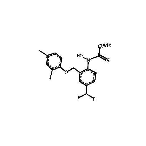 COC(=S)N(O)c1ccc(C(F)F)cc1COc1ccc(C)cc1C